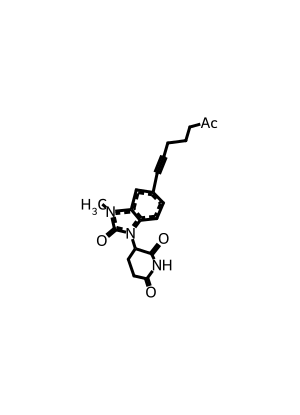 CC(=O)CCCC#Cc1ccc2c(c1)n(C)c(=O)n2C1CCC(=O)NC1=O